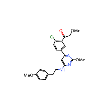 COCC(=O)c1cc(-c2cc(NCCc3ccc(OC)cc3)nc(OC)n2)ccc1Cl